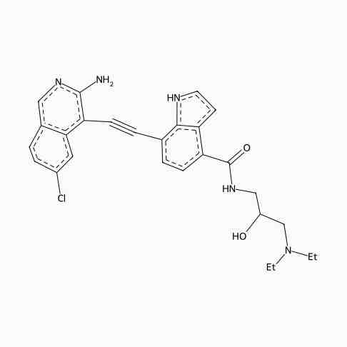 CCN(CC)CC(O)CNC(=O)c1ccc(C#Cc2c(N)ncc3ccc(Cl)cc23)c2[nH]ccc12